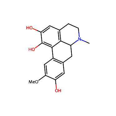 COc1cc2c(cc1O)CC1c3c(cc(O)c(O)c3-2)CCN1C